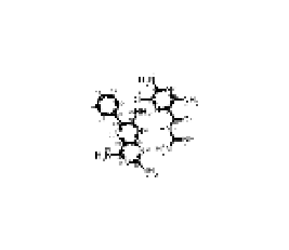 N=C(N)NC(=O)c1nc(Cl)c(N)nc1N.Nc1nc(N)c2nc(-c3ccccc3)c(N)nc2n1